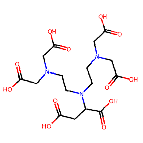 O=C(O)CC(C(=O)O)N(CCN(CC(=O)O)CC(=O)O)CCN(CC(=O)O)CC(=O)O